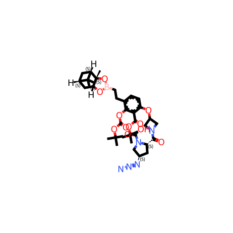 CC(C)(C)OC(=O)Oc1c(CCB2O[C@@H]3C[C@@H]4C[C@@H](C4(C)C)[C@]3(C)O2)ccc(OC2CN(C(=O)[C@@H]3C[C@H](N=[N+]=[N-])CN3C(=O)O)C2)c1C(=O)OC(C)(C)C